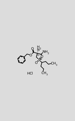 CCCC(CCC)S(=O)(=O)C[C@](N)(C(N)=O)C(=O)OCc1ccccc1.Cl